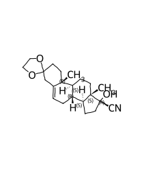 C[C@]12CCC3(CC1=CC[C@@H]1[C@@H]2CC[C@@]2(C)[C@H]1CC[C@]2(O)C#N)OCCO3